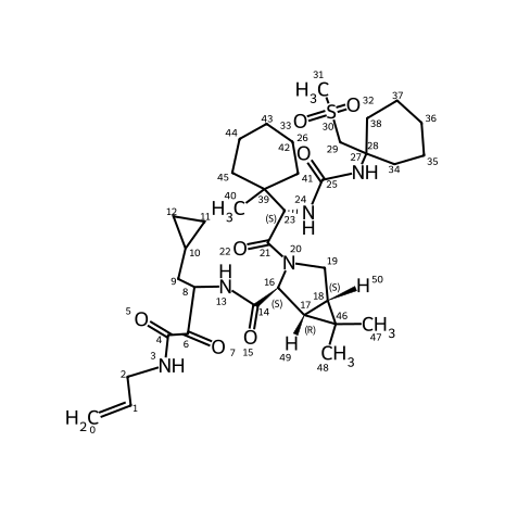 C=CCNC(=O)C(=O)C(CC1CC1)NC(=O)[C@@H]1[C@@H]2[C@H](CN1C(=O)[C@@H](NC(=O)NC1(CS(C)(=O)=O)CCCCC1)C1(C)CCCCC1)C2(C)C